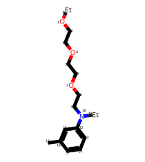 CCOCCOCCOCCN(CC)c1cccc(C)c1